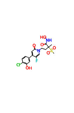 CC(CCn1cc(F)c(-c2ccc(Cl)c(O)c2)cc1=O)(C(=O)NO)S(C)(=O)=O